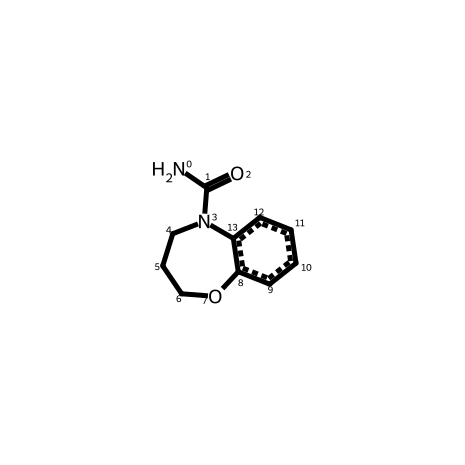 NC(=O)N1CCCOc2ccccc21